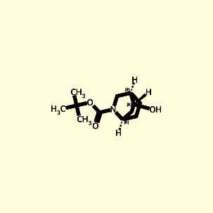 CC(C)(C)OC(=O)N1C[C@H]2CC[C@@H]1C[C@H]2O